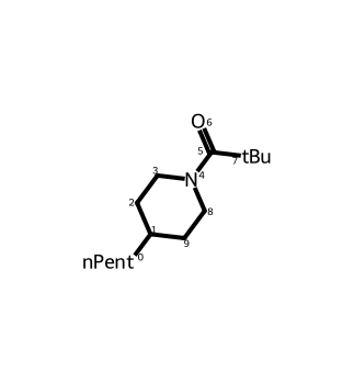 CCCCCC1CCN(C(=O)C(C)(C)C)CC1